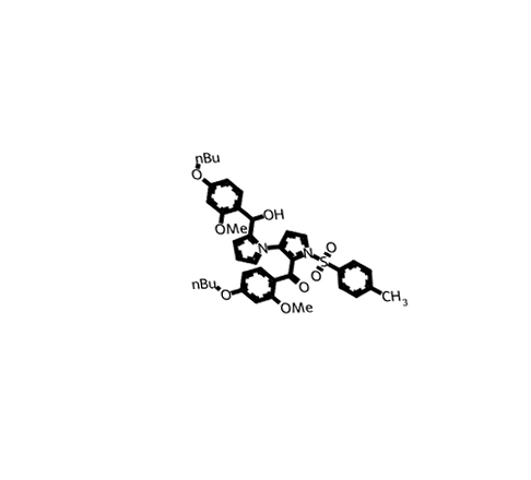 CCCCOc1ccc(C(=O)c2c(-n3cccc3C(O)c3ccc(OCCCC)cc3OC)ccn2S(=O)(=O)c2ccc(C)cc2)c(OC)c1